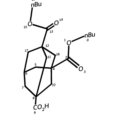 CCCCOC(=O)C12CC3CC(C(=O)O)(C1)CC(C(=O)OCCCC)(C3)C2